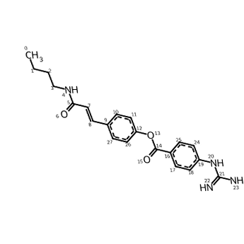 CCCCNC(=O)C=Cc1ccc(OC(=O)c2ccc(NC(=N)N)cc2)cc1